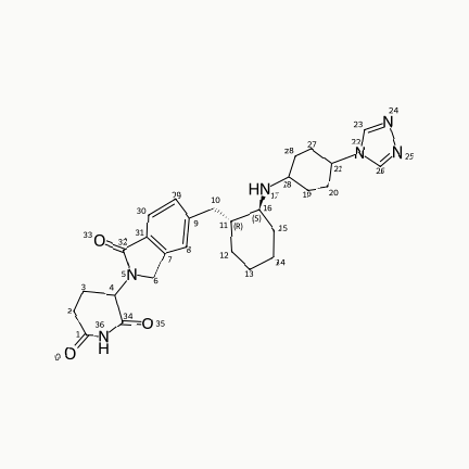 O=C1CCC(N2Cc3cc(C[C@H]4CCCC[C@@H]4NC4CCC(n5cnnc5)CC4)ccc3C2=O)C(=O)N1